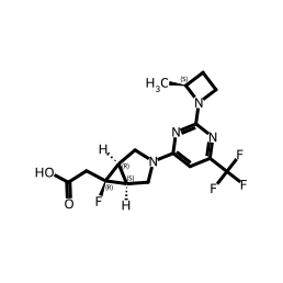 C[C@H]1CCN1c1nc(N2C[C@@H]3[C@H](C2)[C@@]3(F)CC(=O)O)cc(C(F)(F)F)n1